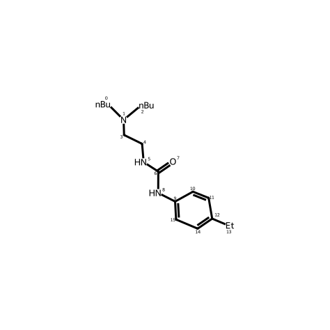 CCCCN(CCCC)CCNC(=O)Nc1ccc(CC)cc1